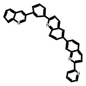 c1ccc(-c2ccc3ccc(-c4ccc5nc(-c6cccc(-c7cnc8ccccc8c7)c6)ccc5c4)cc3n2)nc1